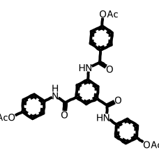 CC(=O)Oc1ccc(NC(=O)c2cc(NC(=O)c3ccc(OC(C)=O)cc3)cc(C(=O)Nc3ccc(OC(C)=O)cc3)c2)cc1